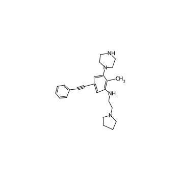 Cc1c(NCCN2CCCC2)cc(C#Cc2ccccc2)cc1N1CCNCC1